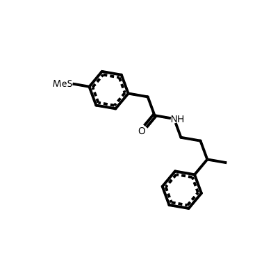 CSc1ccc(CC(=O)NCCC(C)c2ccccc2)cc1